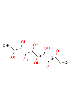 O=[C]/C(O)=C(\O)C(O)=C(O)C(O)C(O)C(O)C(O)[C]=O